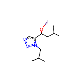 CC(C)CC(OI)c1cnnn1CC(C)C